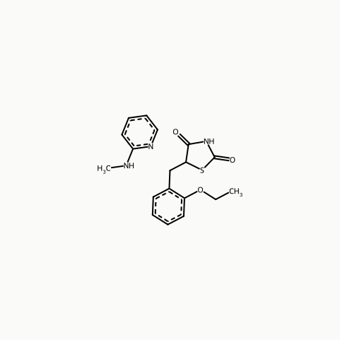 CCOc1ccccc1CC1SC(=O)NC1=O.CNc1ccccn1